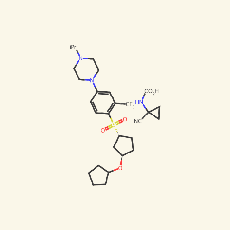 CC(C)N1CCN(c2ccc(S(=O)(=O)[C@@H]3CC[C@@H](OC4CCCC4)C3)c(C(F)(F)F)c2)CC1.N#CC1(NC(=O)O)CC1